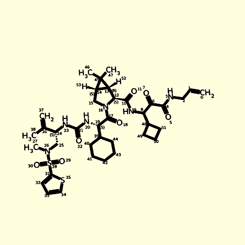 C=CCNC(=O)C(=O)C(NC(=O)[C@@H]1[C@@H]2[C@H](CN1C(=O)[C@@H](NC(=O)N[C@H](CN(C)S(=O)(=O)c1cccs1)C(=C)C)C1CCCCC1)C2(C)C)C1CCC1